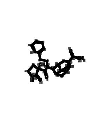 CC1(C(=O)N(CCc2ccccn2)C2C3CC4CC2CC(C(N)=O)(C4)C3)CCNC1=O